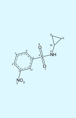 O=[N+]([O-])c1cccc(S(=O)(=O)NC2CC2)c1